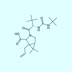 C=CCC12C(C(=O)O)N(C(=O)[C@@H](NC(=O)NC(C)(C)C)C(C)(C)C)CC1C2(C)C